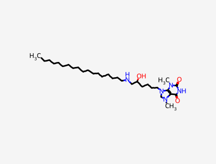 CCCCCCCCCCCCCCCCCCNCC(O)CCCCN1CN(C)c2c1n(C)c(=O)[nH]c2=O